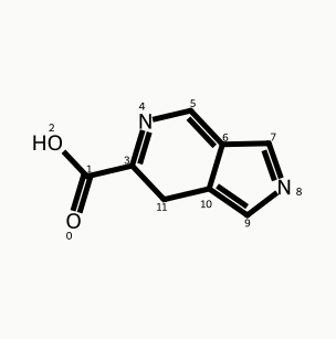 O=C(O)C1=NC=C2C=NC=C2C1